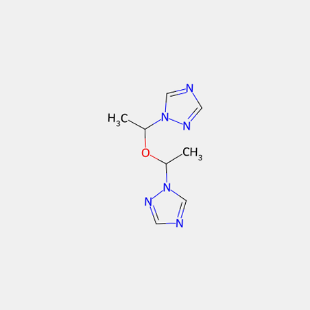 CC(OC(C)n1cncn1)n1cncn1